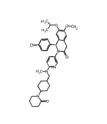 COc1cc2c(cc1OC(C)C)[C@H](c1ccc(Cl)cc1)N(c1ccc(N(C)CC3CCC(N4CCCCC4=O)CC3)nc1)C(=O)C2